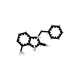 Cc1cccc2c1[nH]c(=O)n2Cc1ccccc1